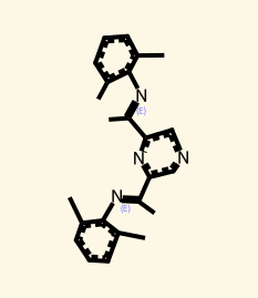 C/C(=N\c1c(C)cccc1C)c1cncc(/C(C)=N/c2c(C)cccc2C)n1